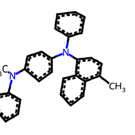 Cc1ccc(N(c2ccccc2)c2ccc(N(C)c3ccccc3)cc2)c2ccccc12